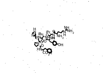 CC[C@H](C)[C@H](NC(=O)[C@H](Cc1ccc(O)cc1)NC(=O)[C@@H](NC(=O)[C@@H](N)CCCNC(=N)N)C(C)C)C(=O)N[C@@H](Cc1c[nH]cn1)C(=O)N1CCC[C@H]1C(=O)N[C@@H](Cc1ccccc1)C(=O)O